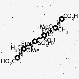 CCC(CC)(N=Nc1cc(C)c(N=Nc2ccc(C(=O)O)cc2)cc1OC)c1ccc(C=Cc2ccc(N=NC(CC)(CC)c3cc(C)c(N=Nc4ccc(C(=O)O)cc4)cc3OC)cc2S(=O)(=O)O)c(S(=O)(=O)O)c1